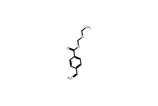 C=Cc1ccc(C(=O)OCOCC)cc1